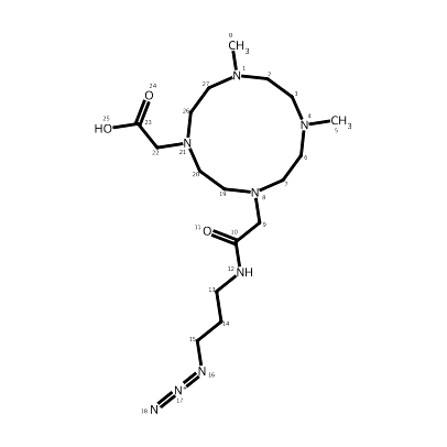 CN1CCN(C)CCN(CC(=O)NCCCN=[N+]=[N-])CCN(CC(=O)O)CC1